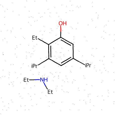 CCNCC.CCc1c(O)cc(C(C)C)cc1C(C)C